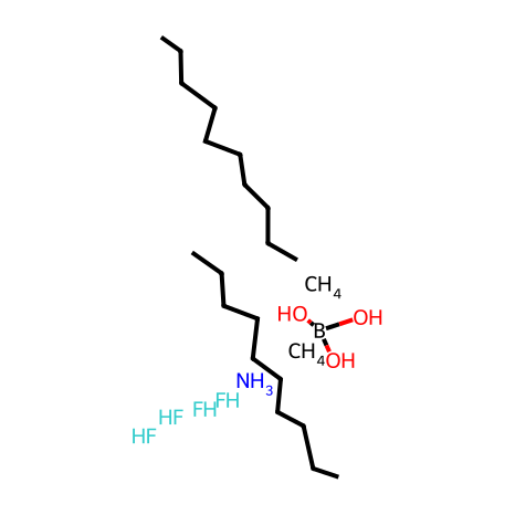 C.C.CCCCCCCCCC.CCCCCCCCCC.F.F.F.F.N.OB(O)O